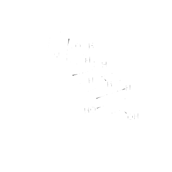 C[C@@H]1CC[C@@]2(OC1)O[C@H]1C[C@H]3[C@@H]4CC[C@@H]5C[C@@H](O)C[C@@H](O)[C@]5(C)[C@H]4CC[C@]3(C)[C@H]1[C@@H]2C